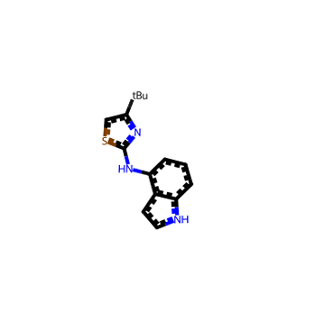 CC(C)(C)c1csc(Nc2cccc3[nH]ccc23)n1